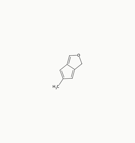 CC1=CC2=COCC2=C1